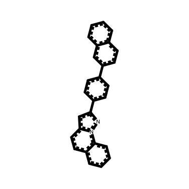 c1ccc2cc(-c3ccc(-c4cc5ccc6ccccc6n5n4)cc3)ccc2c1